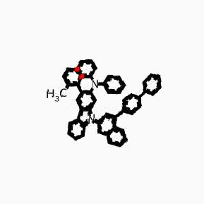 Cc1ccccc1-c1cc2c3ccccc3n(-c3cc(-c4ccc(-c5ccccc5)cc4)c4ccccc4c3)c2cc1N(c1ccccc1)c1ccccc1